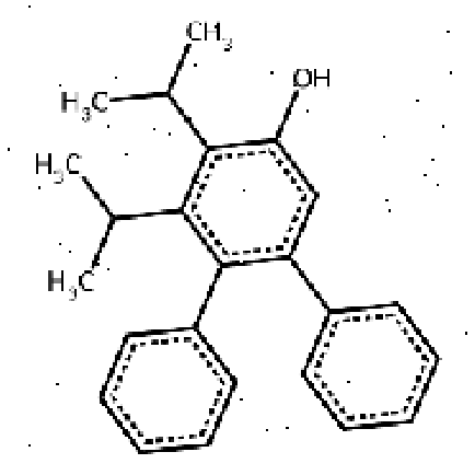 CC(C)c1c(O)cc(-c2ccccc2)c(-c2ccccc2)c1C(C)C